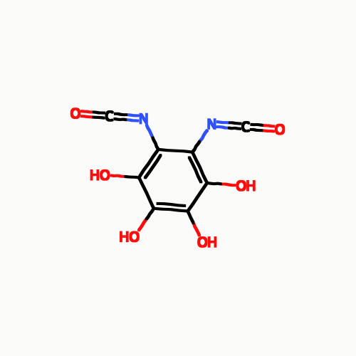 O=C=Nc1c(O)c(O)c(O)c(O)c1N=C=O